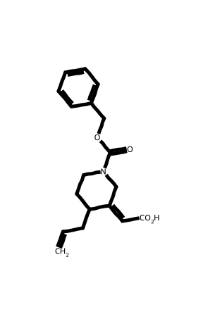 C=CCC1CCN(C(=O)OCc2ccccc2)CC1=CC(=O)O